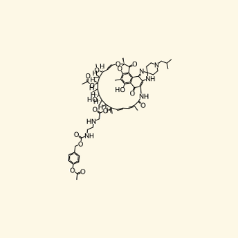 CO[C@H]1/C=C/O[C@@]2(C)Oc3c(C)c(O)c4c(c3C2=O)C2=NC3(CCN(CC(C)C)CC3)NC2=C(NC(=O)/C(C)=C\C=C\[C@H](C)[C@H](OC(=O)CNCCNC(=O)OCc2ccc(OC(C)=O)cc2)[C@@H](C)[C@@H](O)[C@@H](C)[C@H](OC(C)=O)[C@@H]1C)C4=O